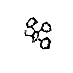 BrCc1nn(-c2ccccc2)c(-c2ccccc2)c1-c1ccccc1